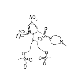 CN1CCN(S(=O)(=O)c2cc([N+](=O)[O-])cc(C(F)(F)F)c2N(CCOS(C)(=O)=O)CCOS(C)(=O)=O)CC1.CS(=O)(=O)O